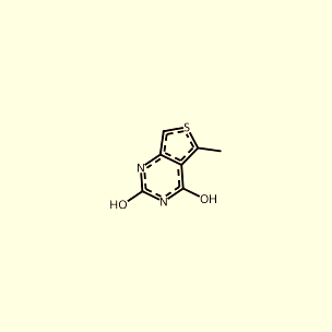 Cc1scc2nc(O)nc(O)c12